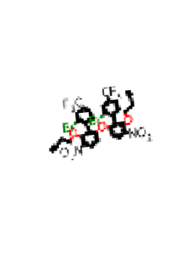 C#CCCOc1c([N+](=O)[O-])ccc(Oc2ccc([N+](=O)[O-])c(OCCC#C)c2-c2ccc(C(F)(F)F)cc2Br)c1-c1ccc(C(F)(F)F)cc1Br